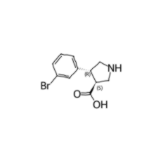 O=C(O)[C@@H]1CNC[C@H]1c1cccc(Br)c1